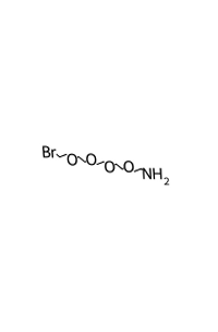 NCCOCCOCCOCCOCCBr